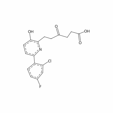 O=C(O)CCC(=O)CCc1nc(-c2ccc(F)cc2Cl)ccc1O